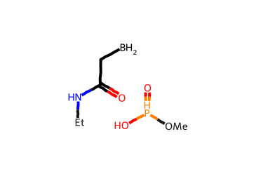 BCC(=O)NCC.CO[PH](=O)O